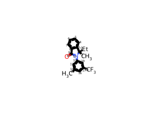 CCC1(C)c2ccccc2C(=O)N1c1cc(C)cc(C(F)(F)F)c1